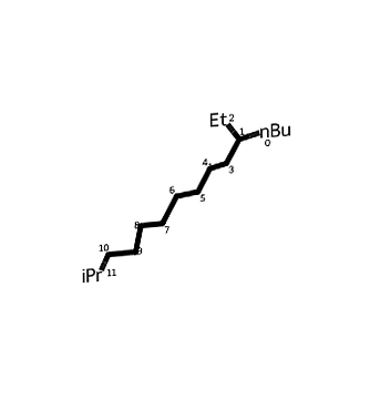 CCCCC(CC)C[CH]CCCCCCC(C)C